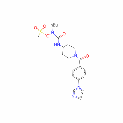 CCCCN(OS(C)(=O)=O)C(=O)NC1CCN(C(=O)c2ccc(-n3ccnc3)cc2)CC1